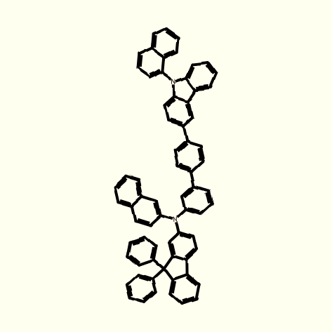 c1ccc(C2(c3ccccc3)c3ccccc3-c3ccc(N(c4cccc(-c5ccc(-c6ccc7c(c6)c6ccccc6n7-c6cccc7ccccc67)cc5)c4)c4ccc5ccccc5c4)cc32)cc1